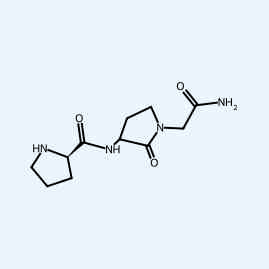 NC(=O)CN1CCC(NC(=O)[C@H]2CCCN2)C1=O